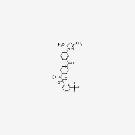 Cc1cc(C)n(-c2cccc(C(=O)N3CCC(N(C4CC4)S(=O)(=O)c4cccc(C(F)(F)F)c4)CC3)c2)n1